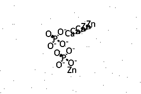 O=P([O-])([O-])[O-].O=P([O-])([O-])[O-].[Ca+2].[Ca+2].[Ca+2].[Zn].[Zn].[Zn]